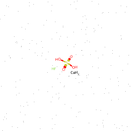 F.O=S(=O)(O)O.[CaH2]